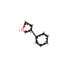 [c]1cocc1-c1ccccc1